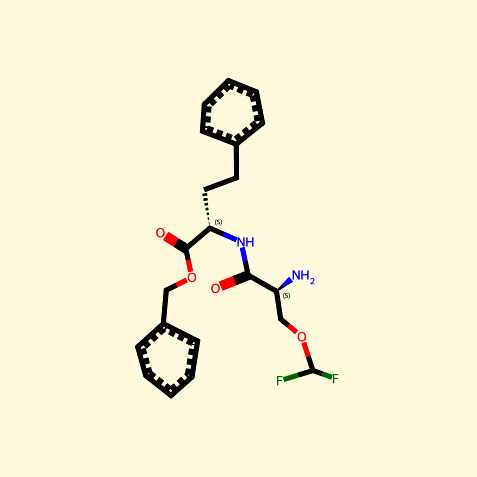 N[C@@H](COC(F)F)C(=O)N[C@@H](CCc1ccccc1)C(=O)OCc1ccccc1